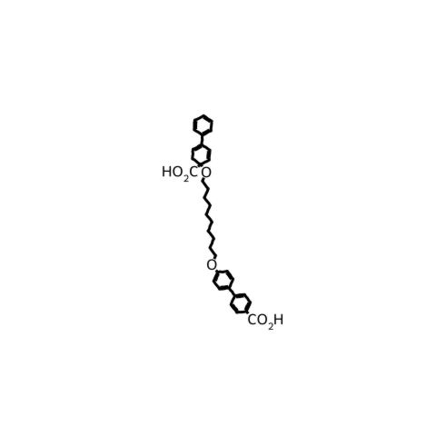 O=C(O)c1ccc(-c2ccc(OCCCCCCCCCCOC3(C(=O)O)C=CC(c4ccccc4)=CC3)cc2)cc1